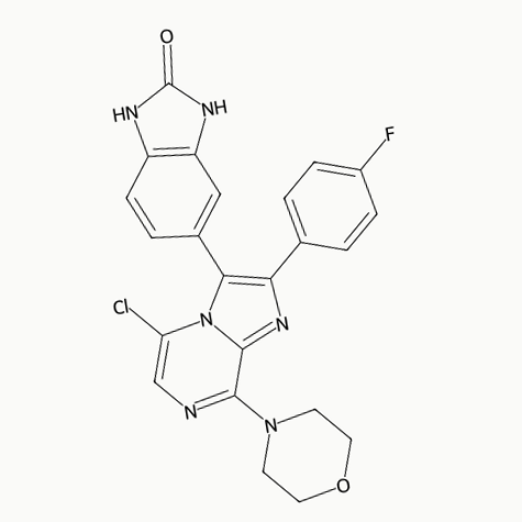 O=c1[nH]c2ccc(-c3c(-c4ccc(F)cc4)nc4c(N5CCOCC5)ncc(Cl)n34)cc2[nH]1